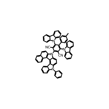 Cc1ccc(-c2c(-n3c4ccccc4c4ccccc43)c(C#N)c(-n3c4ccc5ccccc5c4c4c5c6ccccc6n(-c6ccccc6)c5ccc43)c(C#N)c2-n2c3ccccc3c3ccccc32)cc1